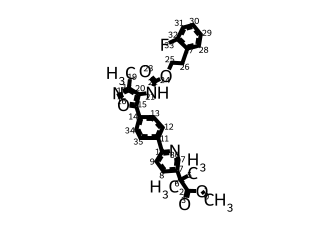 COC(=O)C(C)(C)c1ccc(-c2ccc(-c3onc(C)c3NC(=O)OCCc3ccccc3F)cc2)nc1